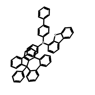 c1ccc(-c2ccc(N(c3ccc(-c4ccccc4C4(c5ccccc5)c5ccccc5-c5ccccc5-c5ccccc54)cc3)c3cccc4c3sc3ccccc34)cc2)cc1